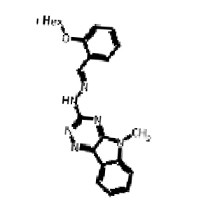 CCCCCCOc1ccccc1C=NNc1nnc2c3ccccc3n(C)c2n1